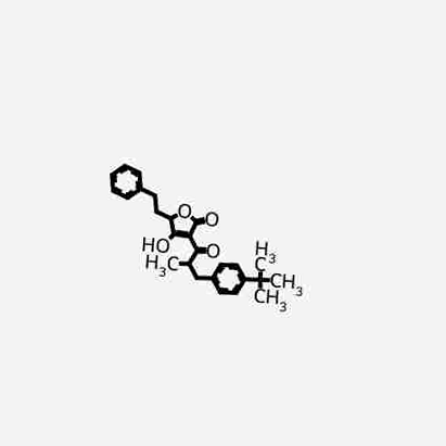 CC(Cc1ccc(C(C)(C)C)cc1)C(=O)C1=C(O)C(CCc2ccccc2)OC1=O